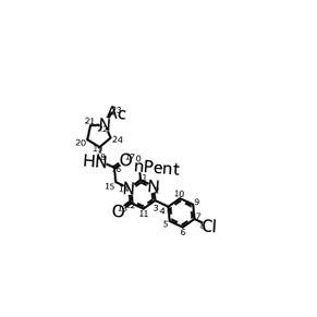 CCCCCc1nc(-c2ccc(Cl)cc2)cc(=O)n1CC(=O)N[C@@H]1CCN(C(C)=O)C1